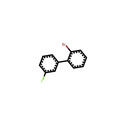 Fc1cccc(-c2ccccc2Br)c1